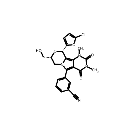 Cn1c(=O)c2c(-c3cccc(C#N)c3)n3c(c2n(C)c1=O)[C@@H](c1ccc(Cl)o1)O[C@@H](CO)C3